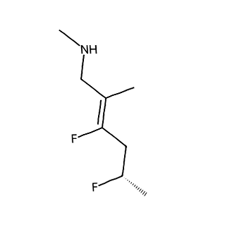 CNC/C(C)=C(\F)C[C@H](C)F